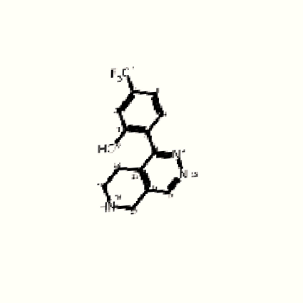 Oc1cc(C(F)(F)F)ccc1-c1nncc2c1CCNC2